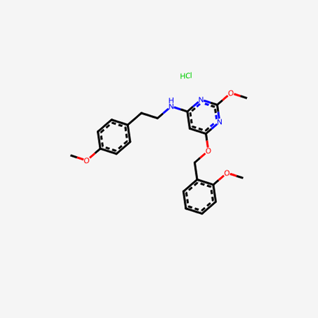 COc1ccc(CCNc2cc(OCc3ccccc3OC)nc(OC)n2)cc1.Cl